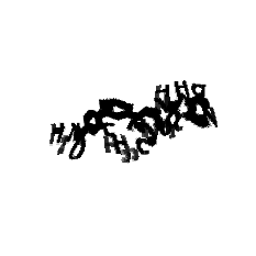 CCn1nc(-c2cccc(-c3ccc(C(N)=O)cc3C)c2)cc(NC(=O)Nc2c(C)cncc2Cl)c1=O